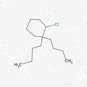 CCCCC1(CCCC)CCCCC1Cl